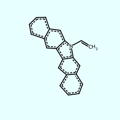 C=Cn1c2cc3ccccc3cc2c2cc3ccccc3cc21